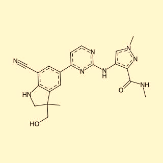 CNC(=O)c1nn(C)cc1Nc1nccc(-c2cc(C#N)c3c(c2)C(C)(CO)CN3)n1